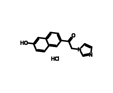 Cl.O=C(Cn1ccnc1)c1ccc2cc(O)ccc2c1